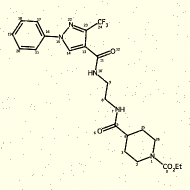 CCOC(=O)N1CCC(C(=O)NCCNC(=O)c2cn(-c3ccccc3)nc2C(F)(F)F)CC1